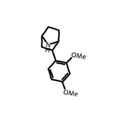 COc1ccc(C2CC3CCC2N3)c(OC)c1